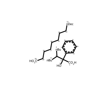 CCCCC(CCCC)C(O)(C(=O)O)c1ccccc1.CCCCCCCCCCCCCCCCCC(=O)O